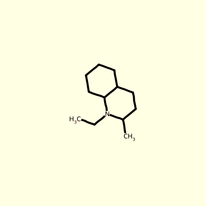 CCN1C(C)CCC2CCCCC21